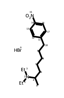 Br.CCN(CC)C(C)CCCCCc1ccc([N+](=O)[O-])cc1